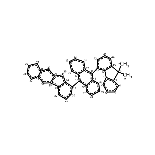 CC1(C)c2ccccc2-c2c(-c3c4ccccc4c(-c4cccc5c4sc4cc6ccccc6cc45)c4ccccc34)cccc21